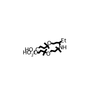 CCC(CCOC(C)(C)CCC(=O)O)NC(C)(C)CCOC(C)(C)CCC(=O)O